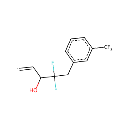 [CH]=CC(O)C(F)(F)Cc1cccc(C(F)(F)F)c1